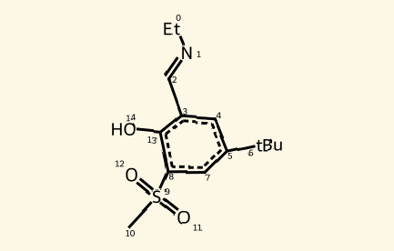 CCN=Cc1cc(C(C)(C)C)cc(S(C)(=O)=O)c1O